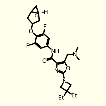 CCC1(CC)CN(c2nc(C(=O)Nc3cc(F)c(OC4CC5C[C@H]5C4)c(F)c3)c(CN(C)C)o2)C1